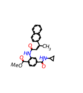 COC(=O)c1ccc(C(=O)NC2CC2)cc1NC(=O)/C=C(/C)c1ccc2ccccc2c1